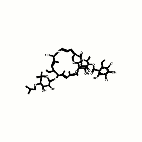 CCc1c(Cl)c(O)c(Cl)c(O)c1C(=O)OC1C(C)OC(OC/C2=C\C=C\CC(O)/C(C)=C/C(CC)C(OC3OC(C)(C)C(OCC(C)C)C(O)C3O)/C(C)=C/C(C)=C/CC(C(C)=O)OC2=O)C(OC)C1O